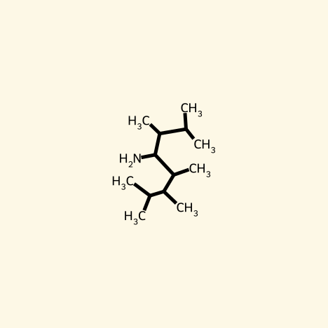 CC(C)C(C)C(C)C(N)C(C)C(C)C